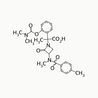 Cc1ccc(S(=O)(=O)N(C)C2CN(C(C)(C(=O)O)c3ccccc3OC(=O)N(C)C)C2=O)cc1